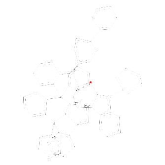 c1ccc(-c2ccc(N(c3ccc4c5ccccc5n(-c5ccccc5)c4c3)c3ccccc3C3(c4ccccc4)c4ccccc4C4(c5ccccc5)c5ccccc5-c5cccc3c54)cc2)cc1